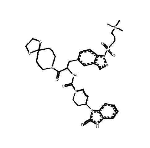 C[Si](C)(C)CCS(=O)(=O)n1ncc2cc(CC(NC(=O)N3CCC(n4c(=O)[nH]c5ccccc54)CC3)C(=O)N3CCC4(CC3)OCCO4)ccc21